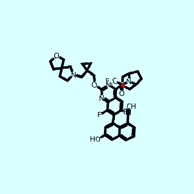 C#Cc1cccc2cc(O)cc(-c3c(F)cc4c(N5CC6CCC(C5)N6C(=O)C(F)(F)F)nc(OCC5(CN6CCC7(CCOC7)C6)CC5)nc4c3F)c12